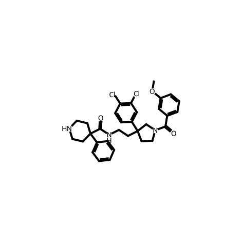 COc1cccc(C(=O)N2CCC(CCNC(=O)C3(c4ccccc4)CCNCC3)(c3ccc(Cl)c(Cl)c3)C2)c1